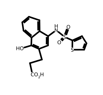 O=C(O)CCc1cc(NS(=O)(=O)c2cccs2)c2ccccc2c1O